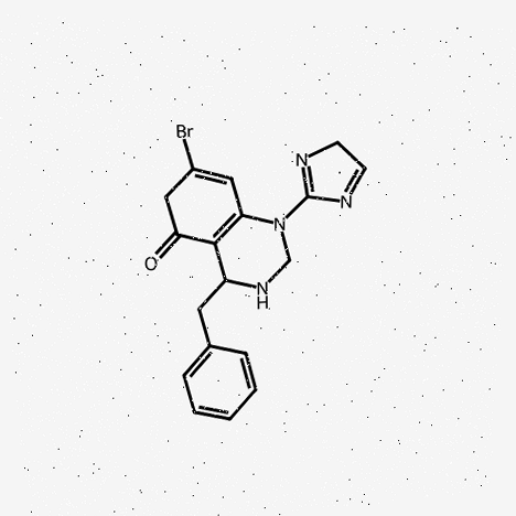 O=C1CC(Br)=CC2=C1C(Cc1ccccc1)NCN2C1=NCC=N1